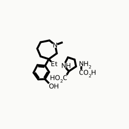 CCC1(c2cccc(O)c2)CCCCN(C)C1.NC(=O)O.O=C(O)C1CCCN1